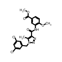 COC(=O)c1ccc(OC)c(NC(=O)c2nnn(Cc3cc(Cl)cc(Cl)c3)c2C)c1